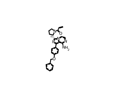 C=CC(=O)N1CCC[C@H]1c1nc(-c2ccc(OCc3ccccc3)cc2)c2c(N)nccn12